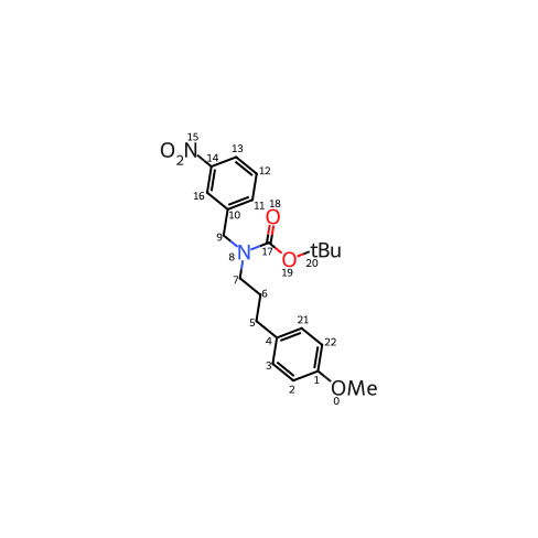 COc1ccc(CCCN(Cc2cccc([N+](=O)[O-])c2)C(=O)OC(C)(C)C)cc1